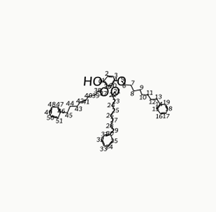 Oc1ccc(OCCCCCCCCc2ccccc2)c(OCCCCCCCCc2ccccc2)c1OCCCCCCCCc1ccccc1